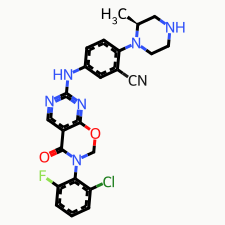 C[C@H]1CNCCN1c1ccc(Nc2ncc3c(n2)OCN(c2c(F)cccc2Cl)C3=O)cc1C#N